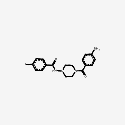 Nc1ccc(C(=O)N2CCN(NC(=O)c3ccc(F)cc3)CC2)cc1